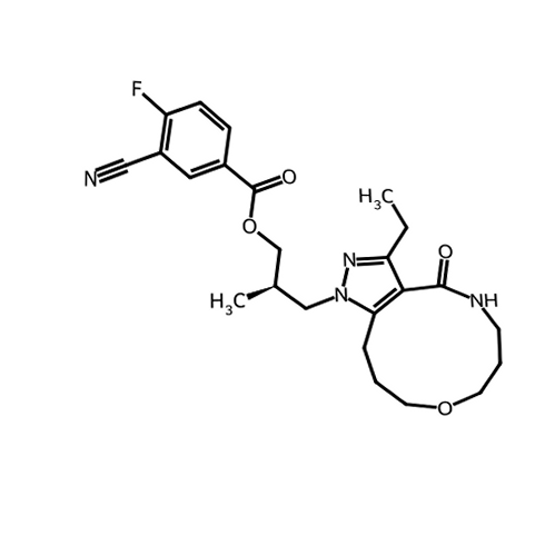 CCc1nn(C[C@@H](C)COC(=O)c2ccc(F)c(C#N)c2)c2c1C(=O)NCCCOCCC2